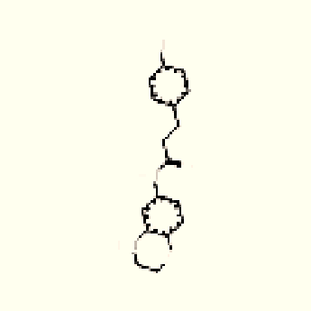 CC(C)(C)c1ccc(CCC(=O)Nc2ccc3c(c2)NCCO3)cc1